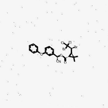 CC1(C)[C@H]([C@H](Br)C(Cl)(Cl)Br)[C@H]1C(=O)O[C@@H](C#N)c1cccc(Oc2ccccc2)c1